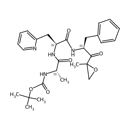 C[C@H](NC(=O)OC(C)(C)C)C(=O)N[C@@H](Cc1ccccn1)C(=O)N[C@@H](Cc1ccccc1)C(=O)C1(C)CO1